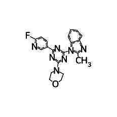 Cc1nc2ccccc2n1-c1nc(-c2ccc(F)nc2)nc(N2CCOCC2)n1